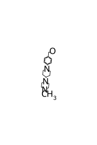 CN1CCN(C2CCN(c3ccc(C=O)cc3)CC2)CC1